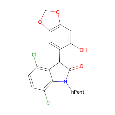 CCCCCN1C(=O)C(c2cc3c(cc2O)OCO3)c2c(Cl)ccc(Cl)c21